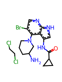 ClCCCl.NC1CCCN(c2c(Br)cnc3[nH]cc(NC(=O)C4CC4)c23)C1